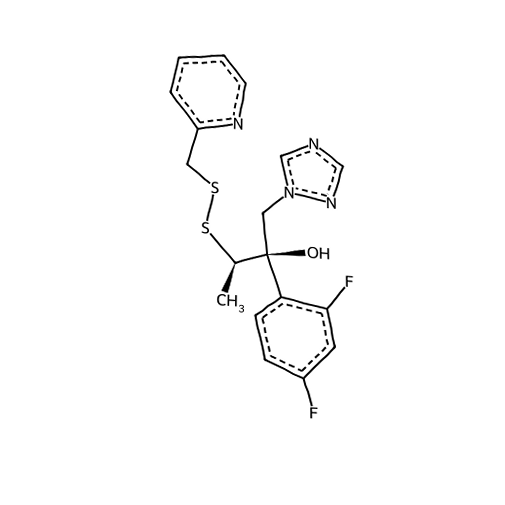 C[C@@H](SSCc1ccccn1)[C@](O)(Cn1cncn1)c1ccc(F)cc1F